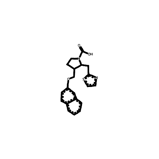 O=C(O)N1CCC(COc2ccc3ccccc3c2)C1Cc1nccs1